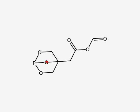 O=COC(=O)CC12COP(OC1)OC2